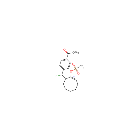 COC(=O)c1ccc(C(F)C2CCCCC/C=C\2OS(=O)(=O)C(F)(F)F)cc1